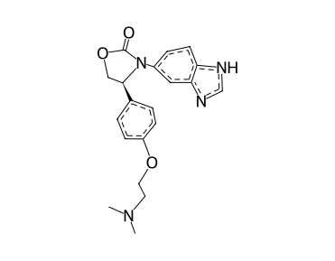 CN(C)CCOc1ccc([C@H]2COC(=O)N2c2ccc3[nH]cnc3c2)cc1